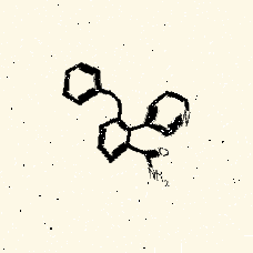 NC(=O)c1cccc(Cc2ccccc2)c1-c1cccnc1